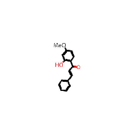 COc1ccc(C(=O)C=Cc2ccccc2)c(O)c1